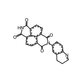 O=C1NC(=O)c2ccc3c4c(ccc1c24)C(=O)N(c1ccc2c(c1)CCC=N2)C3=O